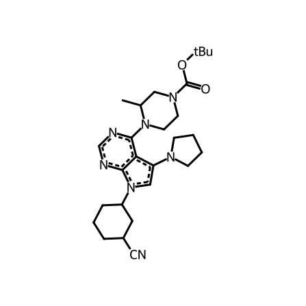 CC1CN(C(=O)OC(C)(C)C)CCN1c1ncnc2c1c(N1CCCC1)cn2C1CCCC(C#N)C1